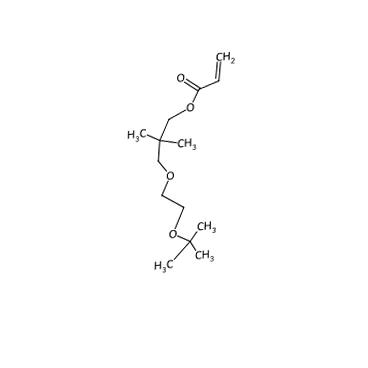 C=CC(=O)OCC(C)(C)COCCOC(C)(C)C